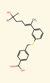 CCC(O)(CC)CCC=C(C)c1cccc(SCc2ccc(C(O)O)cc2)c1